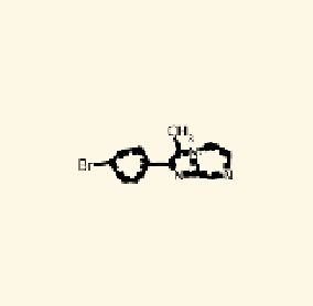 Cc1c(-c2ccc(Br)cc2)nc2cnccn12